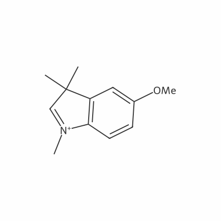 COc1ccc2c(c1)C(C)(C)C=[N+]2C